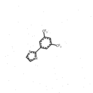 FC(F)(F)c1cc(-c2nc[c]s2)cc(C(F)(F)F)c1